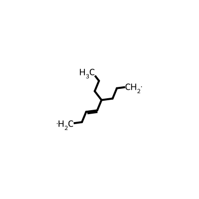 [CH2]C/C=C/C(CC[CH2])CCC